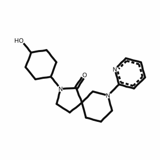 O=C1N(C2CCC(O)CC2)CCC12CCCN(c1ccccn1)C2